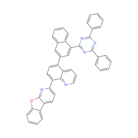 c1ccc(-c2nc(-c3ccccc3)nc(-c3cc(-c4ccc(-c5ccc6c(n5)oc5ccccc56)c5ncccc45)cc4ccccc34)n2)cc1